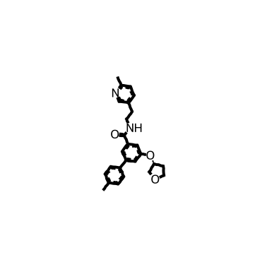 Cc1ccc(-c2cc(O[C@@H]3CCOC3)cc(C(=O)NCCc3ccc(C)nc3)c2)cc1